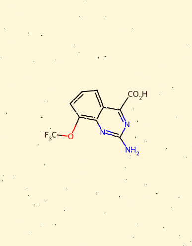 Nc1nc(C(=O)O)c2cccc(OC(F)(F)F)c2n1